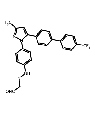 O=CCNNc1ccc(-n2nc(C(F)(F)F)cc2-c2ccc(-c3ccc(C(F)(F)F)cc3)cc2)cc1